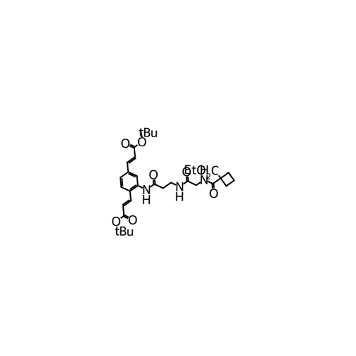 CCOC(=O)C1(C(=O)NCC(=O)NCCC(=O)Nc2cc(/C=C/C(=O)OC(C)(C)C)ccc2/C=C/C(=O)OC(C)(C)C)CCC1